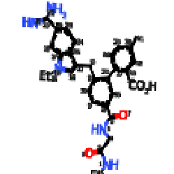 CCNC(=O)CNC(=O)c1ccc(Cc2cn(CC)c3cc(C(=N)N)ccc23)c(-c2ccc(C)cc2C(=O)O)c1